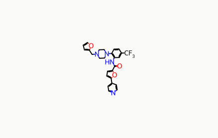 O=C(Nc1cc(C(F)(F)F)ccc1N1CCN(Cc2ccco2)CC1)c1ccc(-c2ccncc2)o1